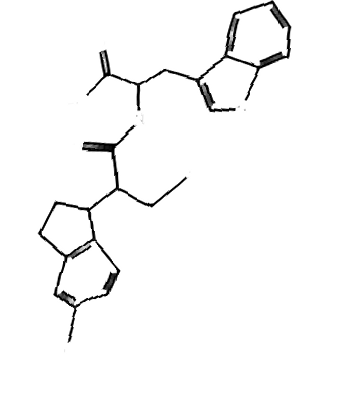 O=C(O)C(Cc1c[nH]c2ccccc12)NC(=O)C(CS)C1CCc2cc(Cl)ccc21